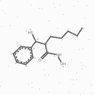 CCCCCC(C(=O)NO)C(S)c1ccccc1